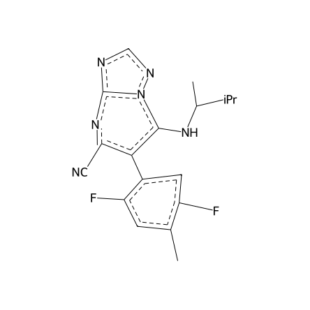 Cc1cc(F)c(-c2c(C#N)nc3ncnn3c2NC(C)C(C)C)cc1F